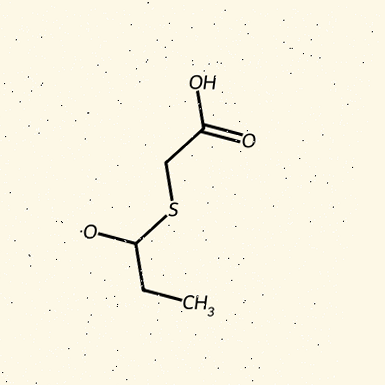 CCC([O])SCC(=O)O